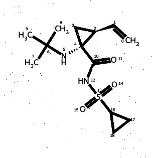 C=C[C@@H]1C[C@]1(NC(C)(C)C)C(=O)NS(=O)(=O)C1CC1